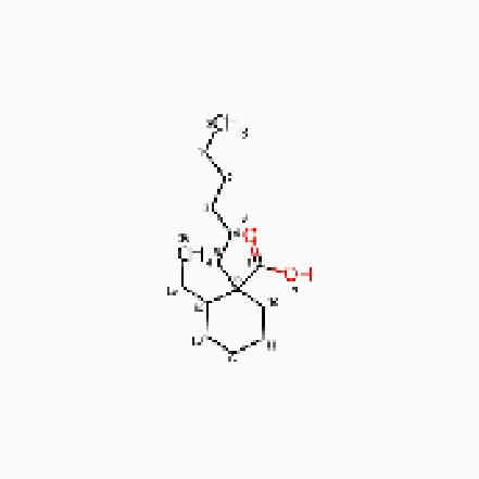 CCCCCCC1(C(=O)O)CCCCC1CC